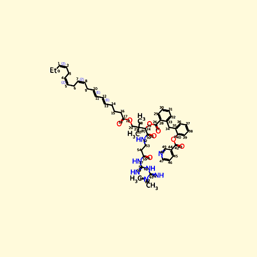 CC/C=C\C/C=C\C/C=C\C/C=C/C=C/CCCC(=O)OCC(C)(C)[C@@H](OC(=O)c1ccccc1Cc1ccccc1OC(=O)c1cccnc1)C(=O)NCCC(=O)NC(=N)NC(=N)N(C)C